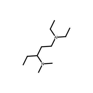 CCC(C[CH2][Al]([CH2]C)[CH2]C)N(C)C